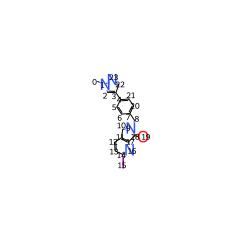 Cn1cc(-c2ccc(CN3Cc4ccc(I)nc4C3=O)cc2)cn1